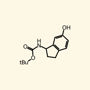 CC(C)(C)OC(=O)NC1CCc2ccc(O)cc21